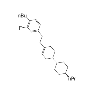 CCCCc1ccc(CCC2=CCC([C@H]3CC[C@H](CCC)CC3)CC2)cc1F